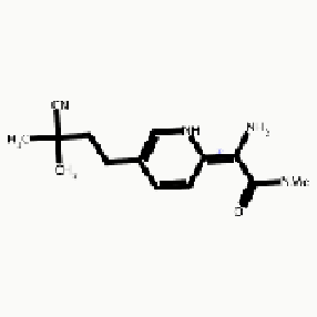 CNC(=O)/C(N)=C1\C=CC(CCC(C)(C)C#N)=CN1